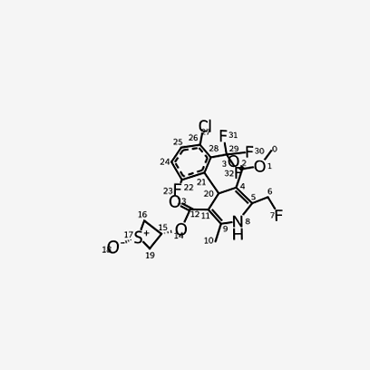 COC(=O)C1=C(CF)NC(C)=C(C(=O)O[C@H]2C[S@@+]([O-])C2)C1c1c(F)ccc(Cl)c1C(F)(F)F